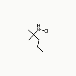 CCCC(C)(C)BCl